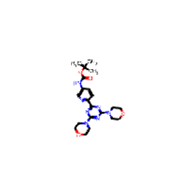 CC(C)(C)OC(=O)Nc1ccc(-c2nc(N3CCOCC3)nc(N3CCOCC3)n2)nc1